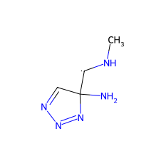 CN[CH]C1(N)C=NN=N1